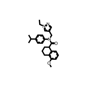 CCn1cc(CN(C(=O)C2CCCc3c(OC)cccc32)c2ccc(C(C)C)cc2)cn1